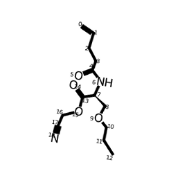 C=CCCC(=O)N[C@@H](COCCC)C(=O)OCC#N